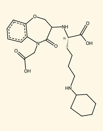 O=C(O)CN1C(=O)C(N[C@@H](CCCCNC2CCCCC2)C(=O)O)COc2ccccc21